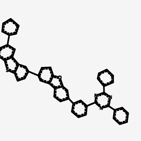 c1ccc(-c2ccc3sc4ccc(-c5ccc6oc7cc(-c8cccc(-c9nc(-c%10ccccc%10)nc(-c%10ccccc%10)n9)c8)ccc7c6c5)cc4c3c2)cc1